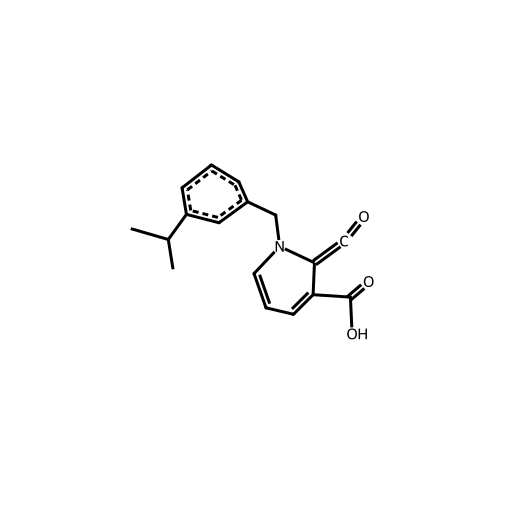 CC(C)c1cccc(CN2C=CC=C(C(=O)O)C2=C=O)c1